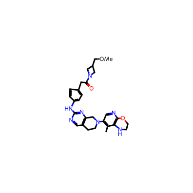 COCC1CN(C(=O)Cc2ccc(Nc3ncc4c(n3)CN(c3cnc5c(c3C)NCCO5)CC4)cc2)C1